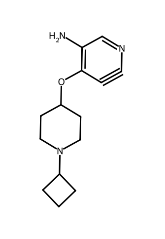 Nc1cnc#cc1OC1CCN(C2CCC2)CC1